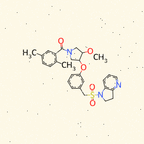 COC1CN(C(=O)c2cc(C)ccc2C)CC1Oc1cccc(CS(=O)(=O)N2CCc3ncccc32)c1